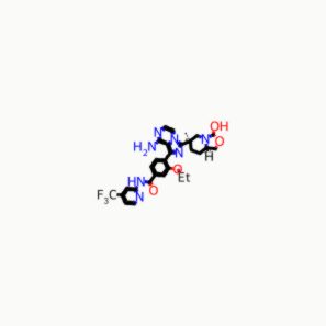 CCOc1cc(C(=O)Nc2cc(C(F)(F)F)ccn2)ccc1-c1nc([C@]2(C)CC[C@H]3COC(O)N3C2)n2ccnc(N)c12